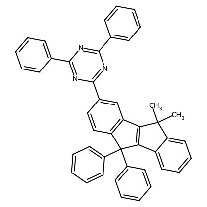 CC1(C)C2=C(c3ccccc31)C(c1ccccc1)(c1ccccc1)c1ccc(-c3nc(-c4ccccc4)nc(-c4ccccc4)n3)cc12